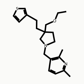 CCOCC1(CCc2ccsc2)CCN(Cc2ccc(C)nc2C)C1